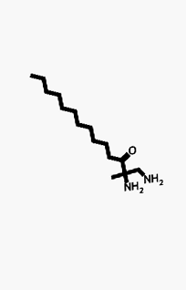 CCCCCCCCCCCC(=O)C(C)(N)CN